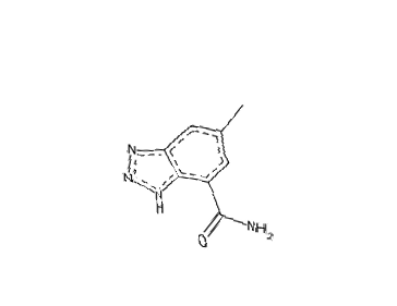 Cc1cc(C(N)=O)c2[nH]nnc2c1